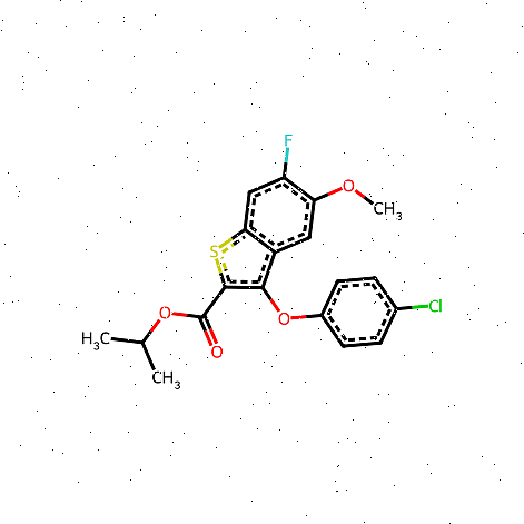 COc1cc2c(Oc3ccc(Cl)cc3)c(C(=O)OC(C)C)sc2cc1F